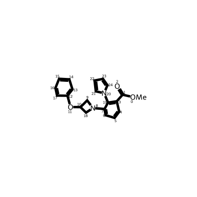 COC(=O)c1cccc(N2CC(Oc3ccccc3)C2)c1-n1cccc1